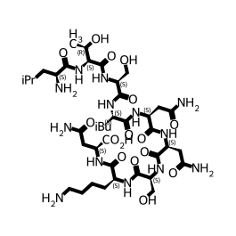 CC[C@H](C)[C@H](NC(=O)[C@H](CO)NC(=O)[C@@H](NC(=O)[C@@H](N)CC(C)C)[C@@H](C)O)C(=O)N[C@@H](CC(N)=O)C(=O)N[C@@H](CC(N)=O)C(=O)N[C@@H](CO)C(=O)N[C@@H](CCCCN)C(=O)N[C@@H](CC(N)=O)C(=O)O